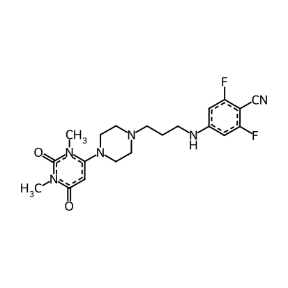 Cn1c(N2CCN(CCCNc3cc(F)c(C#N)c(F)c3)CC2)cc(=O)n(C)c1=O